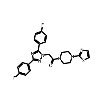 O=C(Cn1nc(-c2ccc(F)cc2)nc1-c1ccc(F)cc1)N1CCN(c2nccs2)CC1